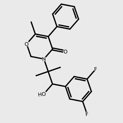 CC1=C(c2ccccc2)C(=O)N(C(C)(C)C(O)c2cc(F)cc(F)c2)CO1